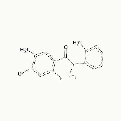 Cc1ccccc1N(C)C(=O)c1cc(N)c(Cl)cc1F